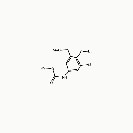 CCOc1c(CC)cc(NC(=O)OC(C)C)cc1COC